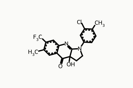 Cc1ccc(N2CCC3(O)C(=O)c4cc(C)c(C(F)(F)F)cc4N=C23)cc1Cl